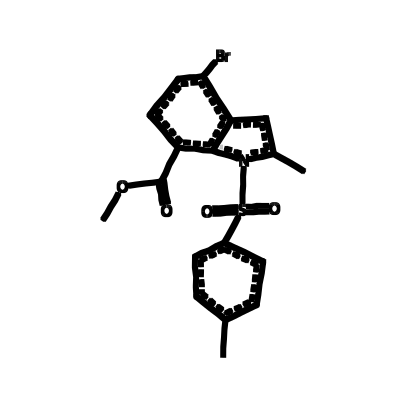 COC(=O)c1ccc(Br)c2cc(C)n(S(=O)(=O)c3ccc(C)cc3)c12